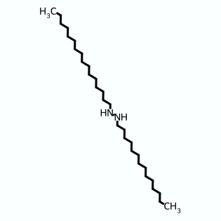 CCCCCCCCCCCCCCCCNNCCCCCCCCCCCCCC